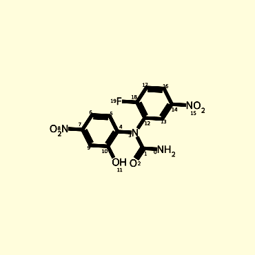 NC(=O)N(c1ccc([N+](=O)[O-])cc1O)c1cc([N+](=O)[O-])ccc1F